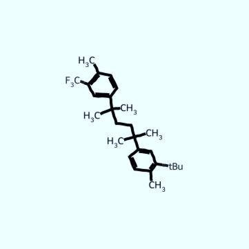 Cc1ccc(C(C)(C)CCC(C)(C)c2ccc(C)c(C(F)(F)F)c2)cc1C(C)(C)C